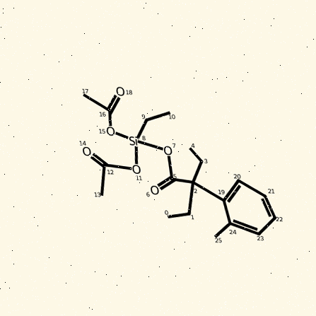 CCC(CC)(C(=O)O[Si](CC)(OC(C)=O)OC(C)=O)c1ccccc1C